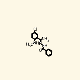 CNc1ccc(Cl)cc1/C(C)=N/NC(=O)c1ccccc1